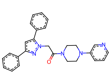 O=C(Cn1nc(-c2ccccc2)cc1-c1ccccc1)N1CCN(c2cccnc2)CC1